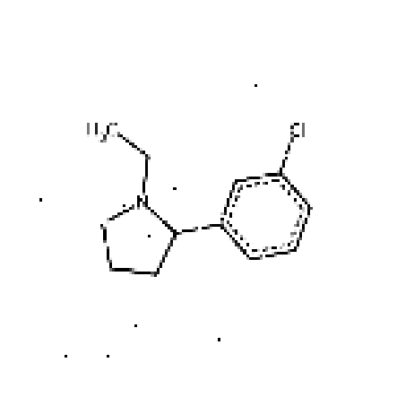 CCN1CCCC1c1cccc(Cl)c1